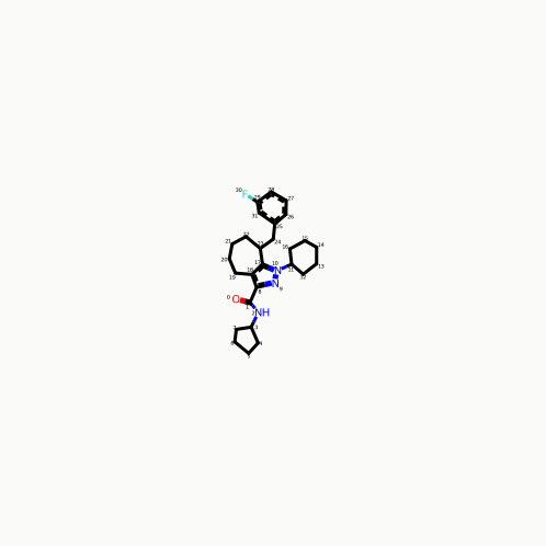 O=C(NC1CCCC1)c1nn(C2CCCCC2)c2c1CCCCC2Cc1cccc(F)c1